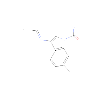 NC(=O)n1cc(N=CC=O)c2ccc(C(F)(F)F)cc21